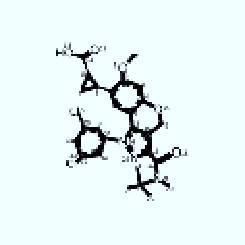 COc1cc2c(cc1[C@H]1C[C@H]1C(=O)O)-c1c(c(C(=O)N(C)C(C)(C)C)nn1-c1cc(Cl)cc(Cl)c1)CO2